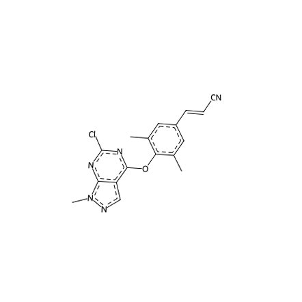 Cc1cc(/C=C/C#N)cc(C)c1Oc1nc(Cl)nc2c1cnn2C